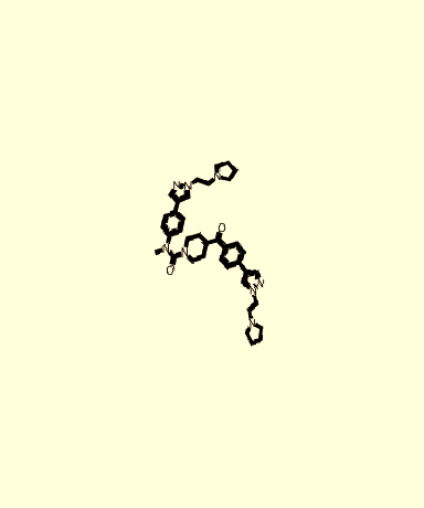 CN(C(=O)N1CCC(C(=O)c2ccc(-c3cnn(CCN4CCCC4)c3)cc2)CC1)c1ccc(-c2cnn(CCN3CCCC3)c2)cc1